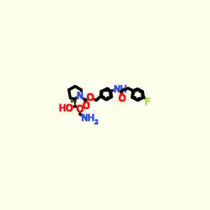 NCOC(O)[C@@H]1CCCCN1C(=O)OCc1ccc(NC(=O)Cc2ccc(F)cc2)cc1